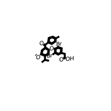 COc1cc(C(=O)c2ccc(C)cc2)c(Oc2c(Br)cc(CC(=O)O)cc2Br)cc1C(C)C